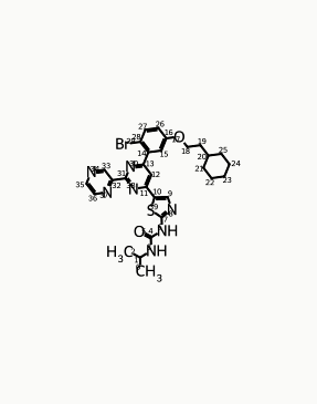 CC(C)NC(=O)Nc1ncc(-c2cc(-c3cc(OCCC4CCCCC4)ccc3Br)nc(-c3cnccn3)n2)s1